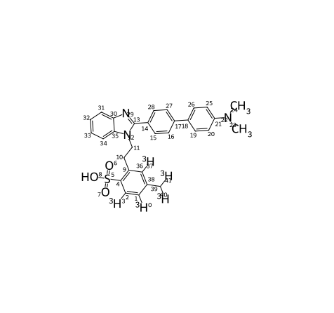 [3H]c1c([3H])c(S(=O)(=O)O)c(CCn2c(-c3ccc(-c4ccc(N(C)C)cc4)cc3)nc3ccccc32)c([3H])c1C([3H])[3H]